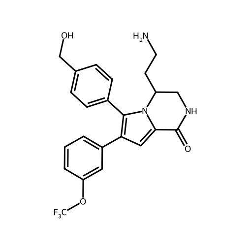 NCCC1CNC(=O)c2cc(-c3cccc(OC(F)(F)F)c3)c(-c3ccc(CO)cc3)n21